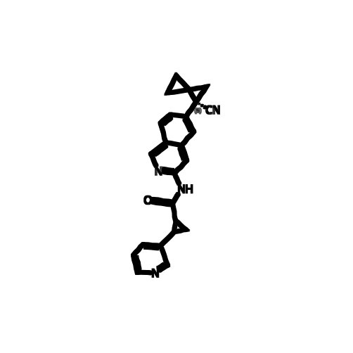 N#C[C@@]1(c2ccc3cnc(NC(=O)C4CC4c4cccnc4)cc3c2)CC12CC2